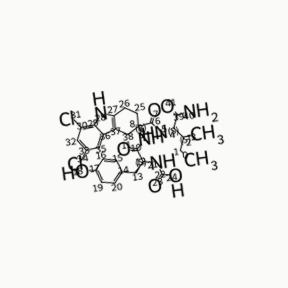 CC[C@H](C)[C@H](NC(=O)[C@@]1(NC(=O)[C@H](Cc2ccc(O)cc2)NC(=O)O)CCc2[nH]c3c(Cl)cc(Cl)cc3c2C1)C(N)=O